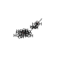 C/C=C/C=C/CCC(=O)NNC(=O)CC(=O)NNC(=O)CCCCCO[C@@H]1OC(C)[C@H](O)[C@H](O[C@H]2O[C@@H](OC)[C@@H](O)C(O[C@H]3OC(CO)[C@H](O)[C@H](O)C3O[C@@H]3OC(C)[C@H](O)[C@H](O)C3O)C2NC(C)=O)C1O